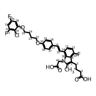 Cc1c(CCCC(=O)O)c2c(F)ccc(/C=C/c3ccc(OCCCCOc4cc(F)cc(F)c4Cl)cc3)c2n1CC(=O)O